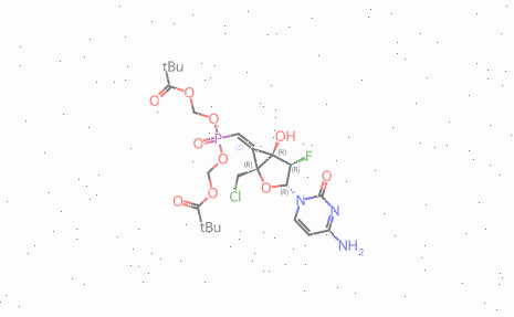 CC(C)(C)C(=O)OCOP(=O)(/C=C1\[C@@]2(CCl)O[C@@H](n3ccc(N)nc3=O)[C@H](F)[C@@]12O)OCOC(=O)C(C)(C)C